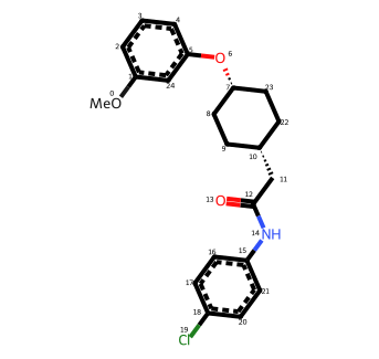 COc1cccc(O[C@H]2CC[C@@H](CC(=O)Nc3ccc(Cl)cc3)CC2)c1